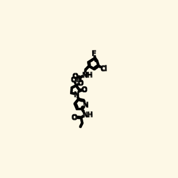 CCC(=O)Nc1ccc(N2CC[C@](O)(OC(=O)NCc3cc(F)cc(Cl)c3)C2=O)cn1